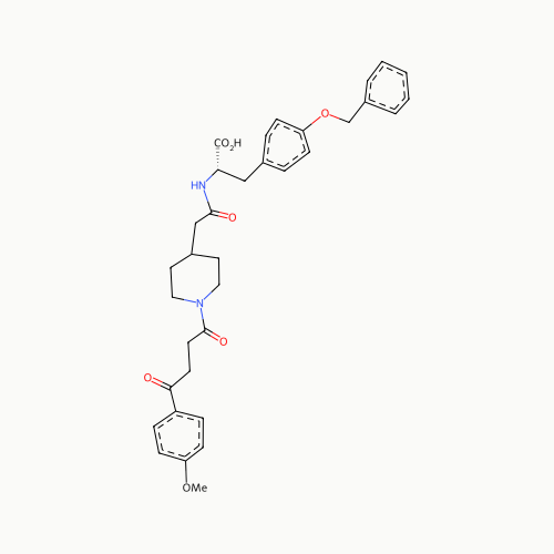 COc1ccc(C(=O)CCC(=O)N2CCC(CC(=O)N[C@@H](Cc3ccc(OCc4ccccc4)cc3)C(=O)O)CC2)cc1